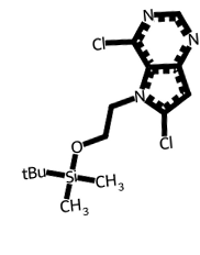 CC(C)(C)[Si](C)(C)OCCn1c(Cl)cc2ncnc(Cl)c21